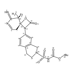 CC[C@]1(C)C(=N)N=CC[C@]12OC(=O)N2c1ccc2c(c1)CN(S(=O)(=O)NC(=O)OC(C)(C)C)CC2